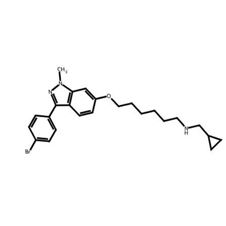 Cn1nc(-c2ccc(Br)cc2)c2ccc(OCCCCCCNCC3CC3)cc21